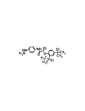 CCC(Oc1ccc(C(C)(C)CC)cc1C(C)(C)CC)C(=O)Nc1ccc(NN)cc1